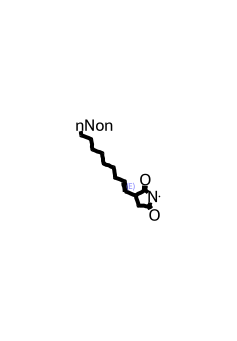 CCCCCCCCCCCCCCCC/C=C/C1CC(=O)[N]C1=O